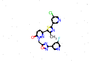 Cc1nc(-c2cncc(Cl)c2)sc1-c1ccc(=O)n(Cc2nc(-c3cncc(F)c3)no2)n1